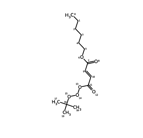 CCCCCCOC(=O)C=CC(=O)OOOC(C)(C)C